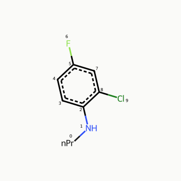 CCCNc1ccc(F)cc1Cl